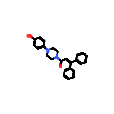 O=C(C=C(c1ccccc1)c1ccccc1)N1CCN(c2ccc(O)cc2)CC1